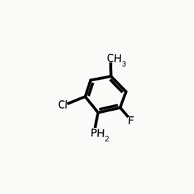 Cc1cc(F)c(P)c(Cl)c1